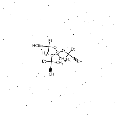 C#CC(C)(CC)O[Si](C)(OC(C)(C#C)CC)OC(C)(C#C)CC